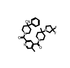 Cc1cnc(C(=O)N2CCC(C#N)(c3ccccc3)CC2)cc1C(=O)N1CCC(C)(N2CCC(F)(F)C2)CC1